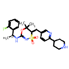 C[C@H](NC1=NS(=O)(=O)C(Cc2ccc(C3CCNCC3)nc2)C(C)(C)O1)c1ccccc1F